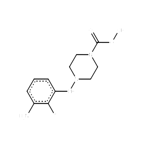 COC(=O)N1CCN(Pc2cccc(N)c2F)CC1